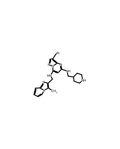 Cc1c(CNc2cc(NCC3CCNCC3)nc3c(C(C)C)cnn23)nc2ccccn12